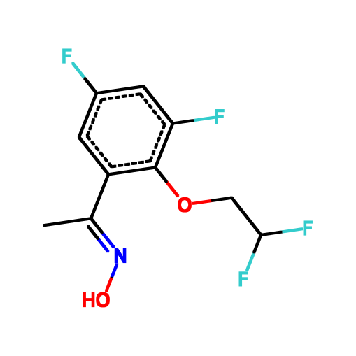 CC(=NO)c1cc(F)cc(F)c1OCC(F)F